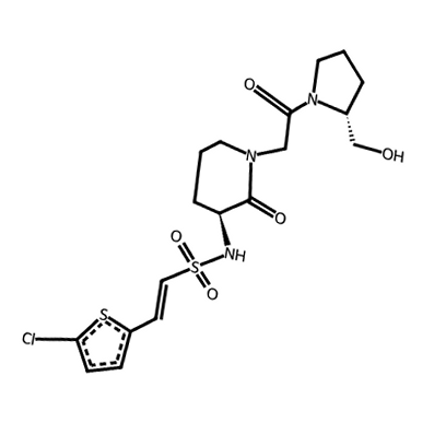 O=C1[C@@H](NS(=O)(=O)/C=C/c2ccc(Cl)s2)CCCN1CC(=O)N1CCC[C@@H]1CO